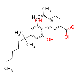 C=C(C)[C@H]1CCC(C(=O)O)=C[C@@H]1c1c(O)cc(C(C)(C)CCCCCC)cc1O